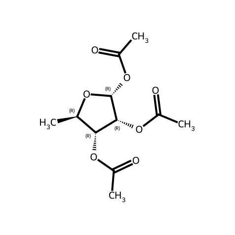 CC(=O)O[C@H]1O[C@H](C)[C@@H](OC(C)=O)[C@H]1OC(C)=O